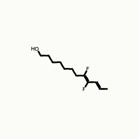 CC=CC(F)=C(F)CCCCCCCO